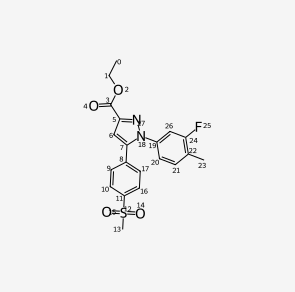 CCOC(=O)c1cc(-c2ccc(S(C)(=O)=O)cc2)n(-c2ccc(C)c(F)c2)n1